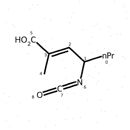 CCCC(C=C(C)C(=O)O)N=C=O